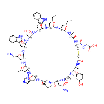 CCCC[C@H]1C(=O)N(C)[C@@H](CCCC)C(=O)N[C@@H](C)C(=O)N[C@H](C(=O)NCC(=O)O)CSCC(=O)N[C@@H](Cc2ccc(O)cc2)C(=O)N(C)[C@@H](C)C(=O)N[C@@H](CC(N)=O)C(=O)N2CCC[C@H]2C(=O)N[C@@H](Cc2cnc[nH]2)C(=O)N[C@@H](CC(C)C)C(=O)N[C@@H](CCCN)C(=O)N[C@@H](Cc2c[nH]c3ccccc23)C(=O)N[C@@H](CO)C(=O)N[C@@H](Cc2c[nH]c3ccccc23)C(=O)N1C